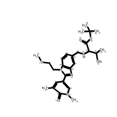 COCCn1c(-c2cc(C)c(=O)n(C)c2)nc2cc(CNC(C(=O)OC(C)(C)C)C(C)O)ccc21